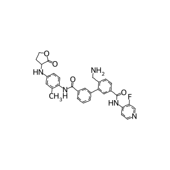 Cc1cc(NC2CCOC2=O)ccc1NC(=O)c1cccc(-c2cc(C(=O)Nc3ccncc3F)ccc2CN)c1